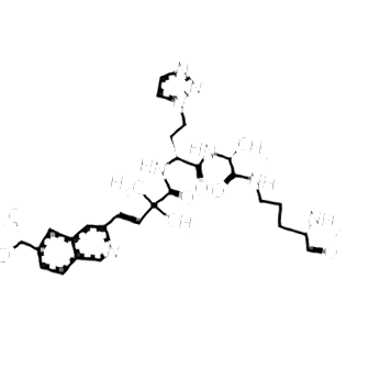 C[C@H](NC(=O)[C@H](CCn1ccnn1)NC(=O)C(C)(C)/C=C/c1cc2cc([C@@H](C)O)ccc2cn1)C(=O)NCCC[C@H](N)C=O